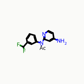 CC(=O)N(c1cccc(C(F)F)c1)c1cc(N)ccn1